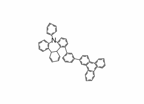 C1=CC2c3ccccc3N(c3ccccc3)c3cccc(-c4cccc(-c5ccc6c7ccccc7c7ccccc7c6c5)c4)c3C2C=C1